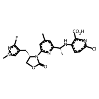 Cc1cc([C@@H](C)Nc2ccc(Cl)nc2C(=O)O)nc(N2C(=O)OC[C@@H]2Cc2cn(C)nc2F)c1